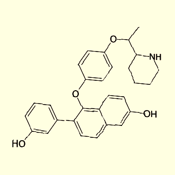 CC(Oc1ccc(Oc2c(-c3cccc(O)c3)ccc3cc(O)ccc23)cc1)C1CCCCN1